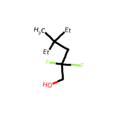 CCC(C)(CC)CC(F)(F)CO